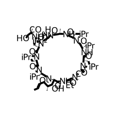 C/C=C/C[C@@H](C)[C@@H](O)[C@H]1C(=O)N[C@@H](CC)C(=O)N(C)CC(=O)N(C)[C@@H](CC(C)C)C(=O)N[C@@H](C(C)C)C(=O)N(C)[C@@H](CC(C)C)C(=O)N[C@@H](C)C(=O)N[C@H](C)C(=O)N(C)[C@@H](CC(C)C)C(=O)N(C)[C@@H](CC(C)C)C(=O)N(C)[C@@H](C(C)C)C(=O)N1C.N[C@H](CO)C(=O)O